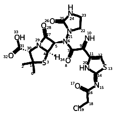 CC1(C)S[C@@H]2[C@H](N(C(=O)C(=N)c3csc(=NC(=O)CCl)[nH]3)N3CCNC3=O)C(=O)N2[C@H]1C(=O)O